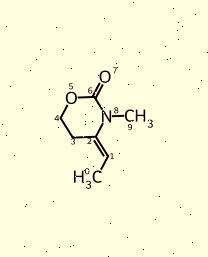 C/C=C1\CCOC(=O)N1C